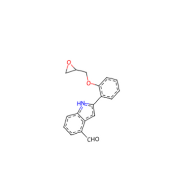 O=Cc1cccc2[nH]c(-c3ccccc3OCC3CO3)cc12